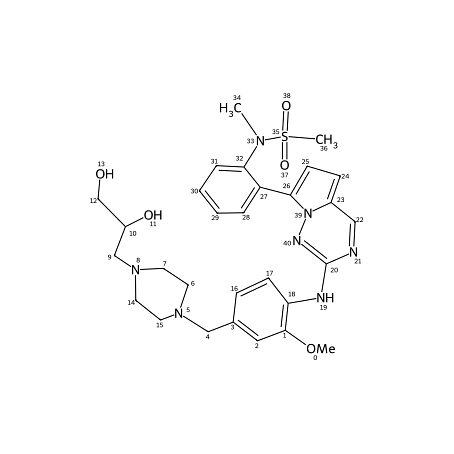 COc1cc(CN2CCN(CC(O)CO)CC2)ccc1Nc1ncc2ccc(-c3ccccc3N(C)S(C)(=O)=O)n2n1